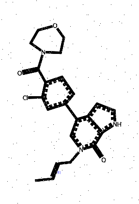 C/C=C/Cn1cc(-c2ccc(C(=O)N3CCOCC3)c(Cl)c2)c2cc[nH]c2c1=O